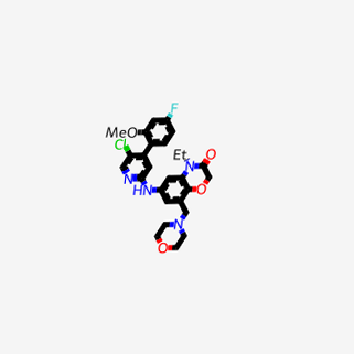 CCN1C(=O)COc2c(CN3CCOCC3)cc(Nc3cc(-c4ccc(F)cc4OC)c(Cl)cn3)cc21